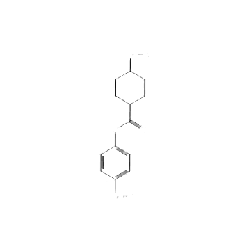 CCCCCc1ccc(OC(=O)C2CCC(CCCCC)CC2)cc1